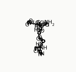 Cc1cccc(-c2nc(CNc3cccc4c3CN(C(=O)OCc3ccc(NC(=O)[C@H](CCCNC(N)=O)NC(=O)C(NC(=O)CCCCCN5C(=O)C=CC5=O)C(C)C)cc3)C4)[nH]c2-c2ccn3ncnc3c2)n1